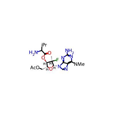 CNc1nc(N)nc2c1ncn2[C@@H]1O[C@H](COC(C)=O)[C@@H](OC(=O)C(N)C(C)C)[C@@]1(C)F